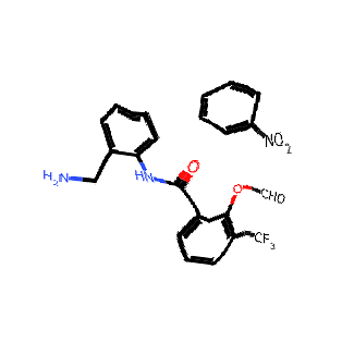 NCc1ccccc1NC(=O)c1cccc(C(F)(F)F)c1OC=O.O=[N+]([O-])c1ccccc1